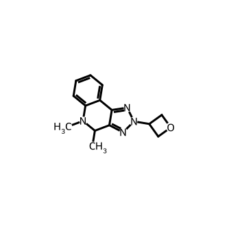 CC1c2nn(C3COC3)nc2-c2ccccc2N1C